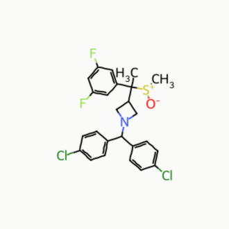 C[S+]([O-])C(C)(c1cc(F)cc(F)c1)C1CN(C(c2ccc(Cl)cc2)c2ccc(Cl)cc2)C1